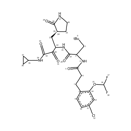 CC(C)(C)CC(NC(=O)CCc1ccc(Cl)cc1OC(F)F)C(=O)NC(C[C@@H]1CCNC1=O)C(=O)C(=O)NC1CC1